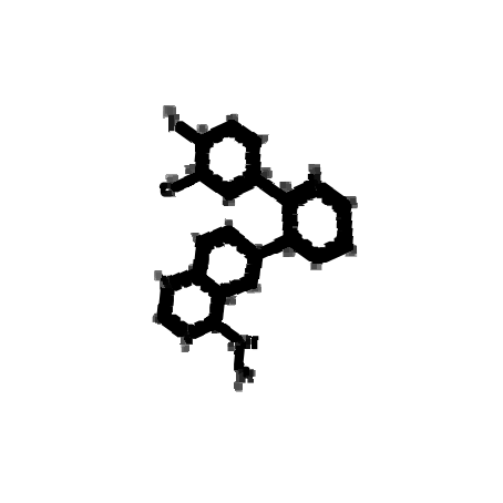 CC(C)Nc1ncnc2ccc(-c3cccnc3-c3ccc(F)c(Cl)c3)cc12